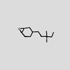 CCC(C)(C)CCC1CCC2OC2C1